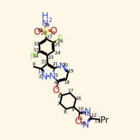 Cc1nn2c(OC3CCC(c4nc(C(C)C)no4)CC3)ccnc2c1-c1cc(F)c(S(N)(=O)=O)cc1F